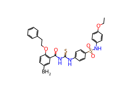 Bc1ccc(OCCc2ccccc2)c(C(=O)NC(=S)Nc2ccc(S(=O)(=O)Nc3ccc(OCC)cc3)cc2)c1